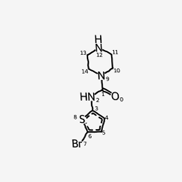 O=C(Nc1ccc(Br)s1)N1CCNCC1